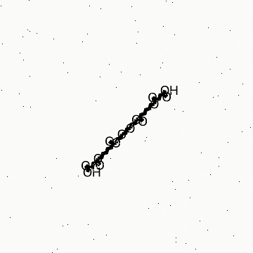 O=C(O)CCC(=O)OCCCCCC(=O)OCCOCCOCCOC(=O)CCCCCOC(=O)CCC(=O)O